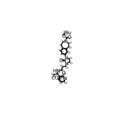 CC(C)(C)OC(=O)N1CCc2ccc(N3CCN(CCC(=O)NC(CC(=O)O)c4cccnc4)C3=O)cc2CC1